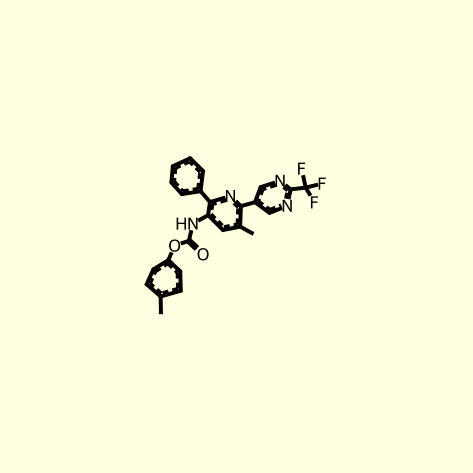 Cc1ccc(OC(=O)Nc2cc(C)c(-c3cnc(C(F)(F)F)nc3)nc2-c2ccccc2)cc1